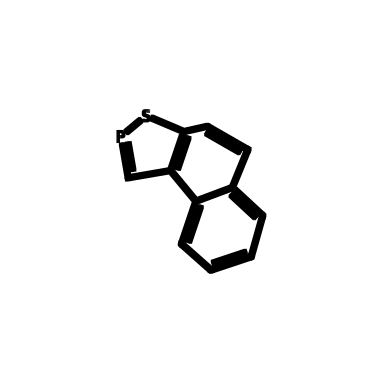 c1ccc2c(c1)ccc1spcc12